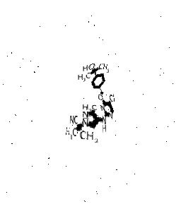 Cc1nn(C(C)(C)C#N)cc1Nc1ncc(Cl)c(OC[C@H]2CC[C@H](C(C)(C)O)CC2)n1